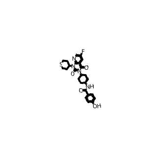 O=C(NC1CCC(n2c(=O)c3cc(F)cnc3n(C3CCSCC3)c2=O)CC1)c1ccc(O)cc1